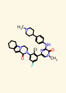 CCc1c(-c2cn(C)c(=O)c(Nc3ccc(C4CCN(C)CC4)cc3)n2)cc(F)cc1N1CCn2c(cc3c2CCCC3)C1=O